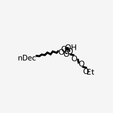 CCCCCCCCCCCCCCCCCCCOOP(=O)(O)OCCOCCOCCOCC